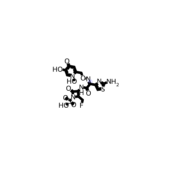 Nc1nc(/C(=N/OCc2cc(=O)c(O)cn2O)C(=O)NC2C(=O)N(S(=O)(=O)O)C2CF)cs1